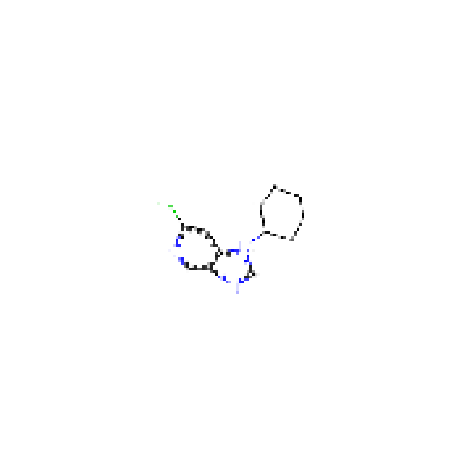 Clc1cc2c(cn1)ncn2C1CCCCC1